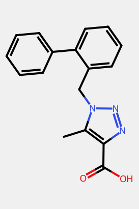 Cc1c(C(=O)O)nnn1Cc1ccccc1-c1ccccc1